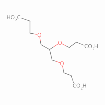 O=C(O)CCOCC(COCCC(=O)O)OCCC(=O)O